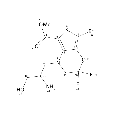 COC(=O)c1sc(Br)c2c1N(CC(N)CO)CC(F)(F)O2